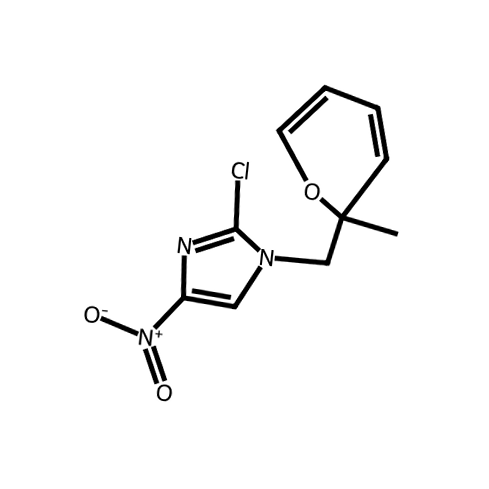 CC1(Cn2cc([N+](=O)[O-])nc2Cl)C=CC=CO1